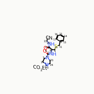 CCOC(=O)N1CCN(C(=O)NC(CSCc2ccccc2)C(=O)NCC#N)CC1